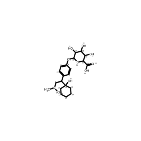 CN(C)CC(c1ccc(OC2OC(C(=O)O)C(O)C(O)C2O)cc1)C1(O)CCCCC1